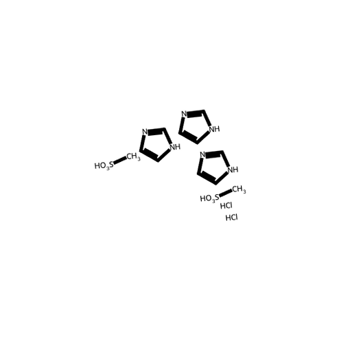 CS(=O)(=O)O.CS(=O)(=O)O.Cl.Cl.c1c[nH]cn1.c1c[nH]cn1.c1c[nH]cn1